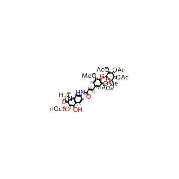 CCCCCCCCOc1c(O)c2ccc(NC(=O)/C=C/c3cc(OC)c(O[C@H]4O[C@H](COC(C)=O)[C@@H](OC(C)=O)[C@H](OC(C)=O)[C@@H]4OC(C)=O)c(OC)c3)cc2n(C)c1=O